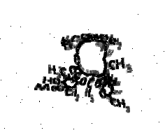 CC[C@H]1OC(=O)[C@H](C)[C@@H](O[C@H]2C[C@@](C)(OC)[C@@H](O)[C@H](C)O2)[C@H](C)[C@@H](O[C@@H]2O[C@H](C)C=C[C@H]2O)[C@](C)(O)C[C@@H](C)CN(C)[C@H](C)[C@@H](O)[C@]1(C)O